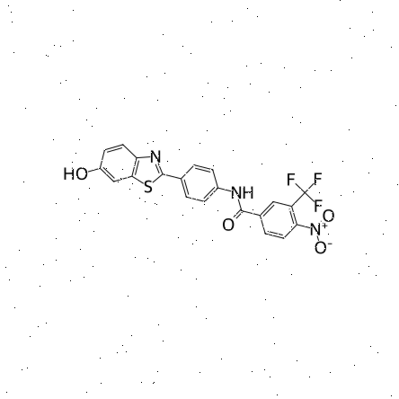 O=C(Nc1ccc(-c2nc3ccc(O)cc3s2)cc1)c1ccc([N+](=O)[O-])c(C(F)(F)F)c1